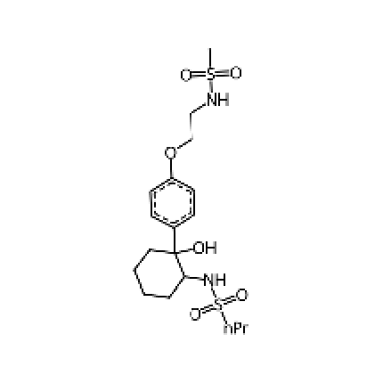 CCCS(=O)(=O)NC1CCCCC1(O)c1ccc(OCCNS(C)(=O)=O)cc1